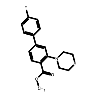 COC(=O)c1ccc(-c2ccc(F)cc2)cc1N1CCSCC1